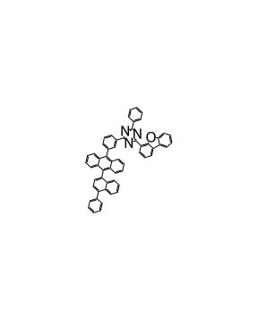 c1ccc(-c2nc(-c3cccc(-c4c5ccccc5c(-c5ccc(-c6ccccc6)c6ccccc56)c5ccccc45)c3)nc(-c3cccc4c3oc3ccccc34)n2)cc1